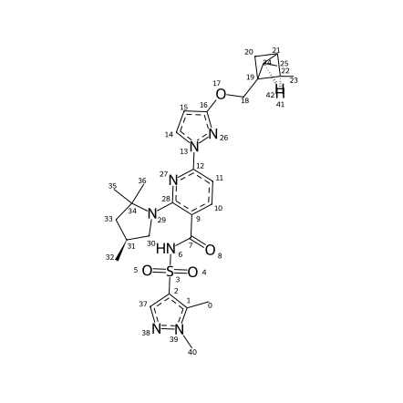 Cc1c(S(=O)(=O)NC(=O)c2ccc(-n3ccc(OCC45CC([C@H]4C)[C@H]5C)n3)nc2N2C[C@@H](C)CC2(C)C)cnn1C